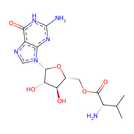 CC(C)[C@H](N)C(=O)OC[C@H]1O[C@@H](n2cnc3c(=O)[nH]c(N)nc32)[C@@H](O)[C@@H]1O